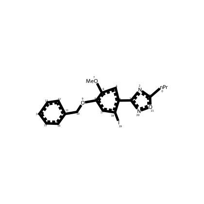 CCCc1nc(-c2cc(OC)c(OCc3ccccc3)cc2I)no1